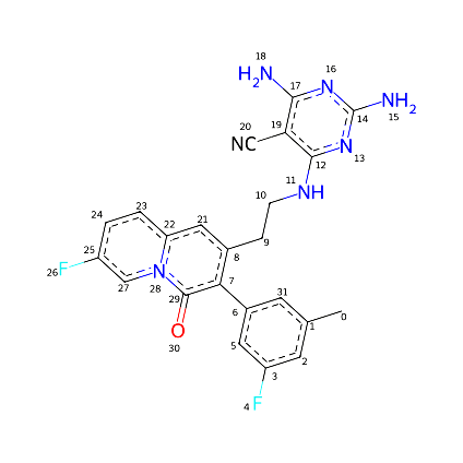 Cc1cc(F)cc(-c2c(CCNc3nc(N)nc(N)c3C#N)cc3ccc(F)cn3c2=O)c1